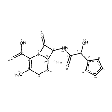 CC1=C(C(=O)O)N2C(=O)C(NC(=O)C(O)c3cccs3)[C@H]2SC1